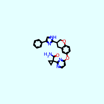 NC(=O)C1(c2nccc(Oc3ccc4c(c3)CC(c3nc(-c5ccccc5)c[nH]3)CO4)n2)CC1